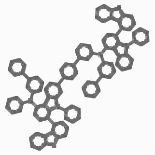 c1ccc(-c2cccc(N(c3cccc(-c4ccc(-c5ccc6c7c(N(c8ccccc8)c8cccc(-c9ccccc9)c8)ccc(-c8cccc9sc%10ccccc%10c89)c7n(-c7ccccc7)c6c5)cc4)c3)c3ccc(-c4cccc5sc6ccccc6c45)c4c3c3ccccc3n4-c3ccccc3)c2)cc1